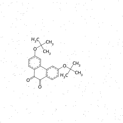 CC(C)(C)Oc1ccc2c(c1)-c1cc(OC(C)(C)C)ccc1C(=O)C2=O